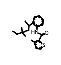 CCC(C)(C)CC(C)c1ccccc1NC(=O)c1sccc1C